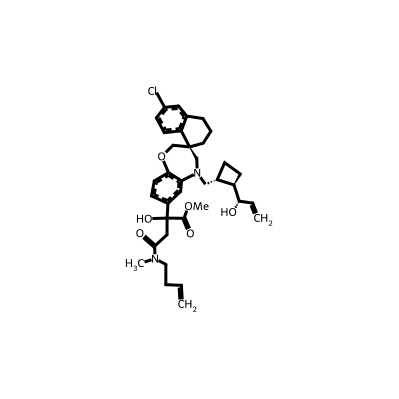 C=CCCN(C)C(=O)CC(O)(C(=O)OC)c1ccc2c(c1)N(C[C@@H]1CC[C@H]1[C@@H](O)C=C)C[C@@]1(CCCc3cc(Cl)ccc31)CO2